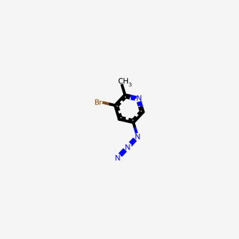 Cc1ncc(N=[N+]=[N-])cc1Br